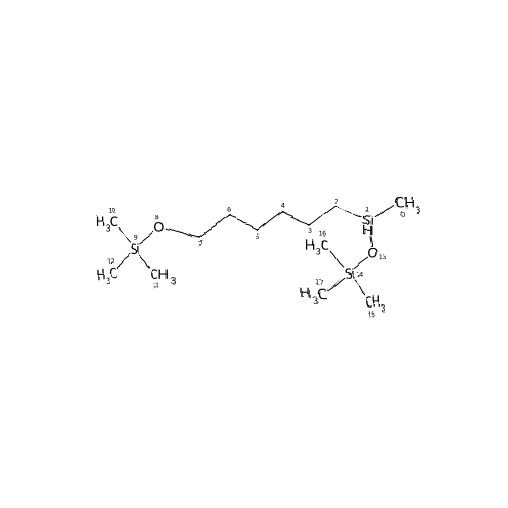 C[SiH](CCCCCCO[Si](C)(C)C)O[Si](C)(C)C